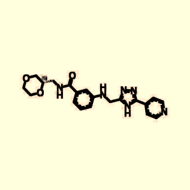 O=C(NC[C@H]1COCCO1)c1cccc(NCc2nnc(-c3ccncc3)[nH]2)c1